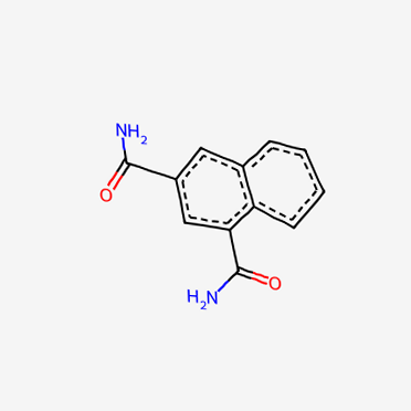 NC(=O)c1cc(C(N)=O)c2ccccc2c1